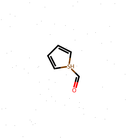 O=C[SH]1C=CC=C1